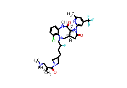 C=C(CN(C)C)C(=O)N1CC(CCC(F)CN2C[C@H]3CC(=O)N(c4cc(C(F)(F)F)cc(C)n4)[C@@H]3C(=O)N(C)c3cccc(Cl)c32)C1